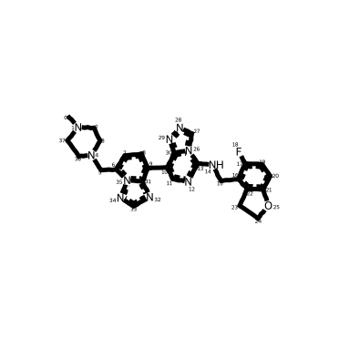 CN1CCN(Cc2ccc(-c3cnc(NCc4c(F)ccc5c4CCO5)n4cnnc34)c3ncnn23)CC1